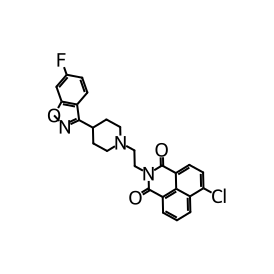 O=C1c2cccc3c(Cl)ccc(c23)C(=O)N1CCN1CCC(c2noc3cc(F)ccc23)CC1